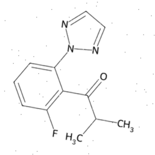 CC(C)C(=O)c1c(F)cccc1-n1nccn1